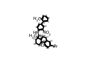 Cc1ccccc1-c1ccc(NC[C@@]2(C)CCC[C@]3(C)c4ccc(C(C)C)cc4CC[C@@H]23)c([N+](=O)[O-])c1